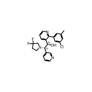 Cc1cc(Cl)cc(-c2ncccc2[C@@H](O)[C@H](c2cccnc2)N2CCC(F)(F)C2)c1